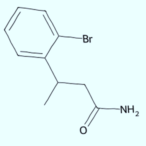 CC(CC(N)=O)c1ccccc1Br